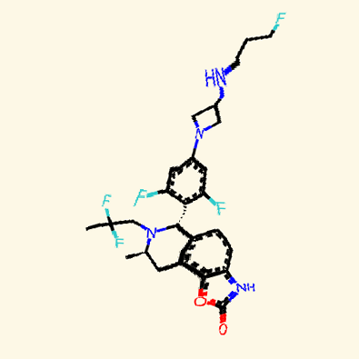 C[C@@H]1Cc2c(ccc3[nH]c(=O)oc23)[C@@H](c2c(F)cc(N3CC(NCCCF)C3)cc2F)N1CC(C)(F)F